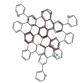 C=C(/C=C(\C=C(/C)c1ccccc1-c1ccc(-c2ccccn2)cc1-c1ccccc1)c1ccccc1-c1ccc2c(c1)c1cccc3c4cc(-c5ccccc5-c5cc(-c6ccccc6-c6ccc(-c7ccccn7)cc6-c6ccccc6)cc(-c6ccccc6-c6ccc(-c7ccccn7)cc6-c6ccccc6)c5)ccc4c4ncnc2c4c13)c1ccccc1-c1ccc(-c2ccccn2)cc1-c1ccccc1